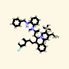 C=C(/C=C(\C)F)CCC1c2ccccc2-c2cc(CC(C)C)c([Si](C)(C)C)c[n+]2C1CC(=C)N(C)c1ccccc1NCc1ccccc1